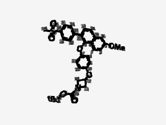 COc1ccc2c(Oc3ccc(OC4CN(C(=O)OC(C)(C)C)C4)cc3)c(-c3ccc(S(C)(=O)=O)cc3)ccc2c1